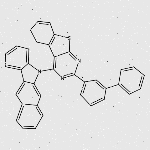 C1=Cc2sc3nc(-c4cccc(-c5ccccc5)c4)nc(-n4c5ccccc5c5cc6ccccc6cc54)c3c2CC1